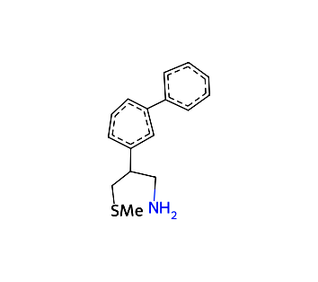 CSCC(CN)c1cccc(-c2ccccc2)c1